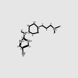 CN(C)CCC[C@H]1CC[C@H](N(C)c2ncc(Br)cn2)CC1